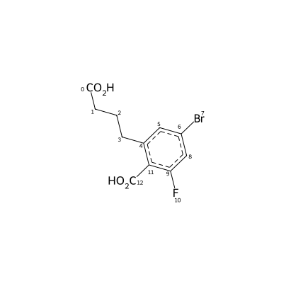 O=C(O)CCCc1cc(Br)cc(F)c1C(=O)O